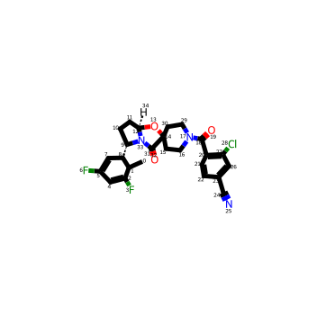 CC1C(F)=CC(F)=CC1[C@@H]1CC[C@H]2OC3(CCN(C(=O)c4ccc(C#N)cc4Cl)CC3)C(=O)N21